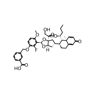 CCC[C@H](O)[C@H]1[C@H]([C@@H]2C[C@H]3O[C@@H](c4c(OC)ccc(OCc5cccc(C(=O)O)c5)c4F)O[C@@]3(C(=O)CO)C2)CCC2=CC(=O)C=C[C@@]21C